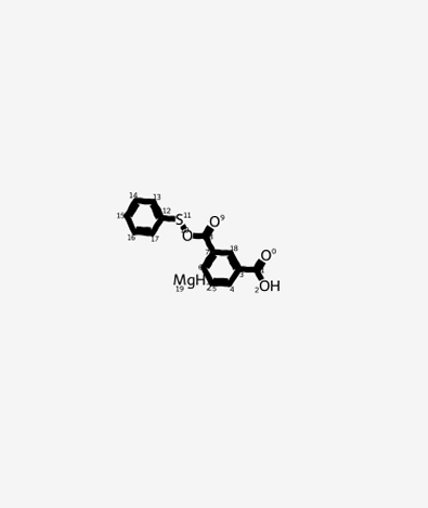 O=C(O)c1cccc(C(=O)OSc2ccccc2)c1.[MgH2]